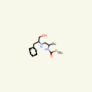 CCC(C)C(CNC(CO)Cc1ccccc1)NC(=O)OC(C)(C)C